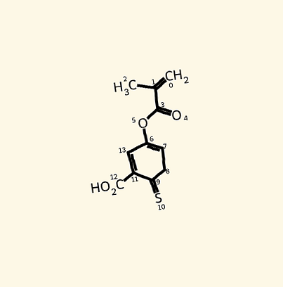 C=C(C)C(=O)OC1=CCC(=S)C(C(=O)O)=C1